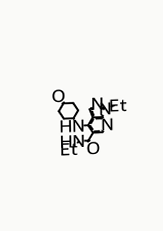 CCNC(=O)c1cnc2c(cnn2CC)c1NC1CCC(=O)CC1